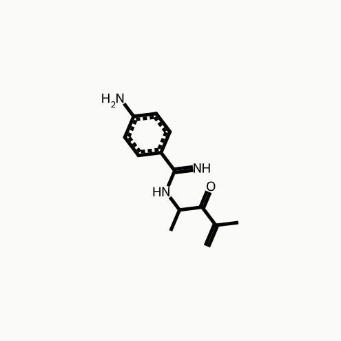 C=C(C)C(=O)C(C)NC(=N)c1ccc(N)cc1